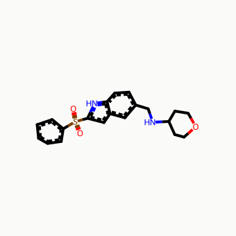 O=S(=O)(c1ccccc1)c1cc2cc(CNC3CCOCC3)ccc2[nH]1